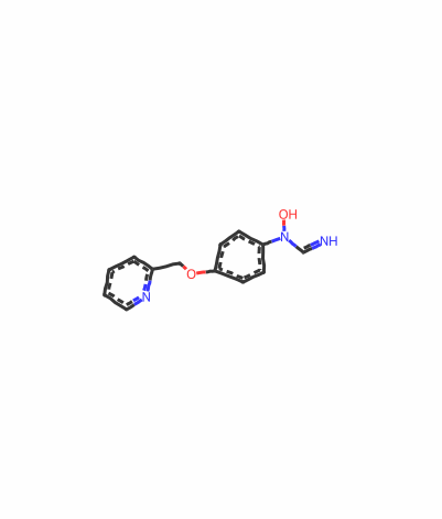 N=CN(O)c1ccc(OCc2ccccn2)cc1